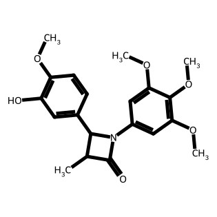 COc1ccc(C2C(C)C(=O)N2c2cc(OC)c(OC)c(OC)c2)cc1O